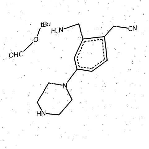 CC(C)(C)OC=O.N#CCc1ccc(N2CCNCC2)cc1CN